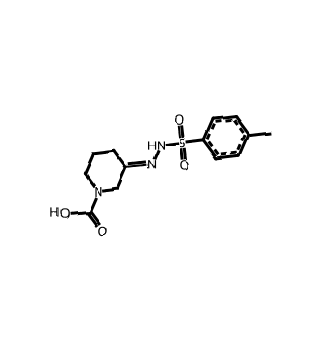 Cc1ccc(S(=O)(=O)NN=C2CCCN(C(=O)O)C2)cc1